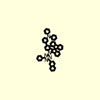 C1=CCC(N(c2ccccc2)c2cccc(-c3ccc4c(c3)c3c(n4-c4nc(-c5ccccc5)nc(-c5ccc6ccccc6c5)n4)-c4ccccc4C34c3ccccc3-c3ccccc34)c2)C=C1